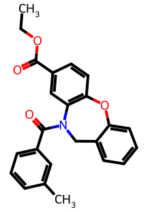 CCOC(=O)c1ccc2c(c1)N(C(=O)c1cccc(C)c1)Cc1ccccc1O2